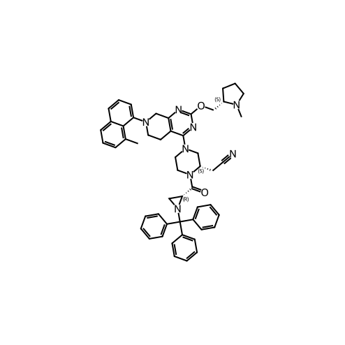 Cc1cccc2cccc(N3CCc4c(nc(OC[C@@H]5CCCN5C)nc4N4CCN(C(=O)[C@H]5CN5C(c5ccccc5)(c5ccccc5)c5ccccc5)[C@@H](CC#N)C4)C3)c12